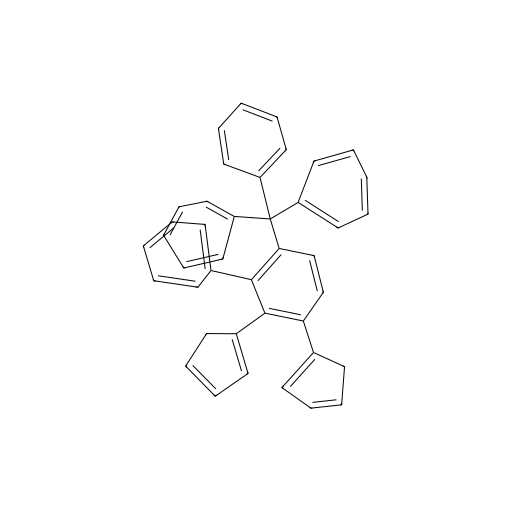 C1=CCC(c2ccc(C(c3ccccc3)(c3ccccc3)c3ccccc3)c(-c3ccccc3)c2C2=CC=CC2)=C1